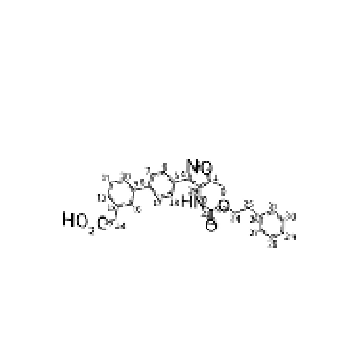 Cc1onc(-c2ccc(-c3cccc(CC(=O)O)c3)cc2)c1NC(=O)OCCc1ccccc1